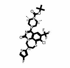 C[C@@H]1CN(c2nc(=O)n3c4c(c(Cl)c(C(F)(F)F)cc24)SC[C@@H](c2cc(F)cs2)C3)C[C@H](C)N1C(=O)OC(C)(C)C